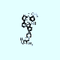 Cc1ccc(NC(=O)c2ccc(N3CCN(CC(C)(C)C)CC3)cc2)cc1Nc1nccc(-c2cccnc2)n1